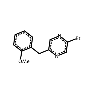 CCc1cnc(Cc2ccccc2OC)cn1